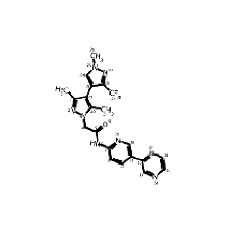 Cc1nn(CC(=O)Nc2ccc(-c3cnccn3)cn2)c(C)c1-c1cn(C)nc1C(F)(F)F